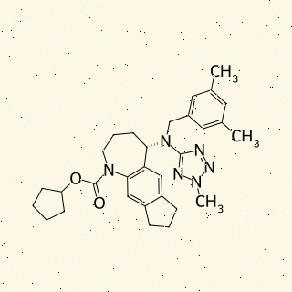 Cc1cc(C)cc(CN(c2nnn(C)n2)[C@H]2CCCN(C(=O)OC3CCCC3)c3cc4c(cc32)CCC4)c1